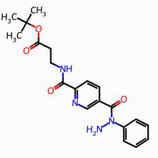 CC(C)(C)OC(=O)CCNC(=O)c1ccc(C(=O)N(N)c2ccccc2)cn1